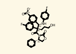 O=C1OC[C@H](c2ccccc2)N1C(=O)[C@](CCCO)(c1ccc(F)cc1)[C@@H](Nc1ccc(F)cc1)c1ccc([N+](=O)[O-])cc1